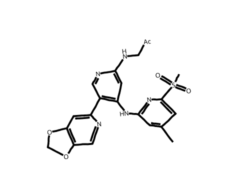 CC(=O)CNc1cc(Nc2cc(C)cc(S(C)(=O)=O)n2)c(-c2cc3c(cn2)OCO3)cn1